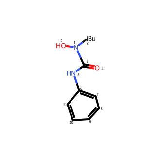 CCC(C)N(O)C(=O)Nc1ccccc1